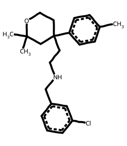 Cc1ccc(C2(CCNCc3cccc(Cl)c3)CCOC(C)(C)C2)cc1